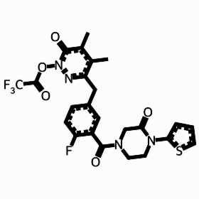 Cc1c(Cc2ccc(F)c(C(=O)N3CCN(c4cccs4)C(=O)C3)c2)nn(OC(=O)C(F)(F)F)c(=O)c1C